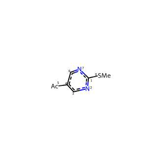 CSc1ncc(C(C)=O)cn1